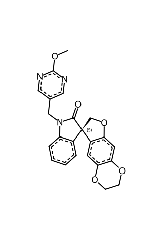 COc1ncc(CN2C(=O)[C@@]3(COc4cc5c(cc43)OCCO5)c3ccccc32)cn1